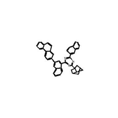 c1ccc2cc(-c3nc(-c4cc(-c5ccc6c(ccc7ccccc76)c5)cc5ccccc45)nc(C45CC6CC7(CC7C4)C65)n3)ccc2c1